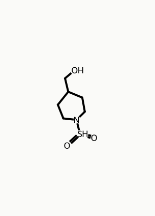 O=[SH](=O)N1CCC(CO)CC1